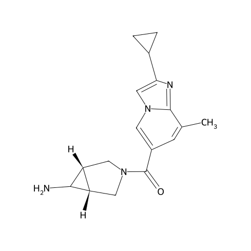 Cc1cc(C(=O)N2C[C@@H]3C(N)[C@@H]3C2)cn2cc(C3CC3)nc12